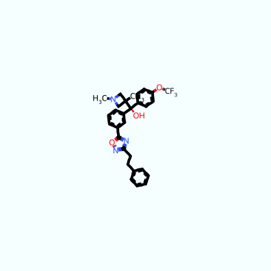 CN1CC(C)([C@](O)(c2ccc(OC(F)(F)F)cc2)c2cccc(-c3nc(CCc4ccccc4)no3)c2)C1